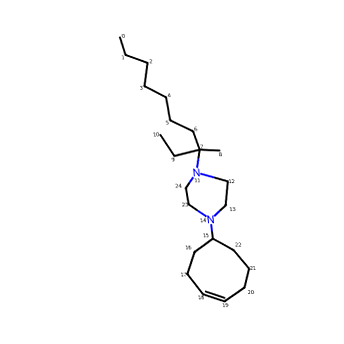 CCCCCCCC(C)(CC)N1CCN(C2CC/C=C\CCC2)CC1